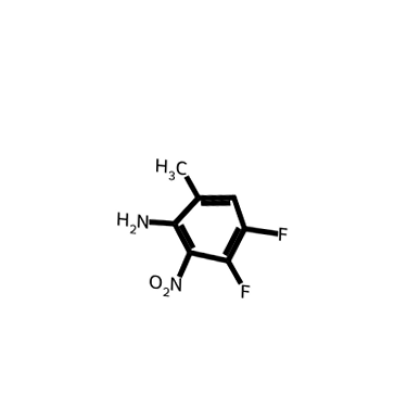 Cc1cc(F)c(F)c([N+](=O)[O-])c1N